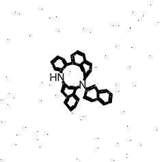 c1ccc2cc(-n3c4ccc5cccc(c5c4)c4ccccc4[nH]c4cc5ccccc5c3c4)ccc2c1